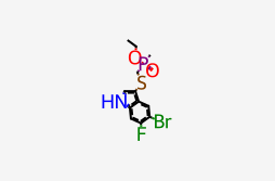 CCOP(C)(=O)CSc1c[nH]c2cc(F)c(Br)cc12